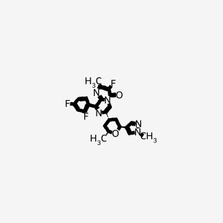 Cc1nc2c(-c3ccc(F)cc3F)nc([C@H]3C[C@@H](C)O[C@H](c4cnn(C)c4)C3)cn2c(=O)c1F